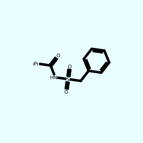 CC(C)C(=O)NS(=O)(=O)Cc1ccccc1